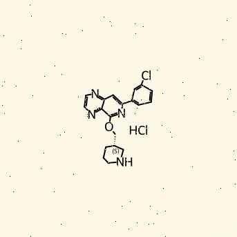 Cl.Clc1cccc(-c2cc3nccnc3c(OC[C@H]3CCCNC3)n2)c1